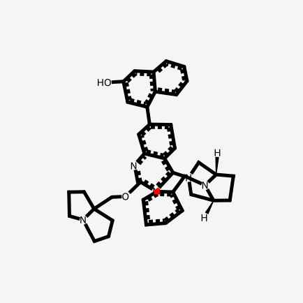 Oc1cc(-c2ccc3c(N4C[C@H]5CC[C@@H](C4)N5Cc4ccccc4)nc(OCC45CCCN4CCC5)nc3c2)c2ccccc2c1